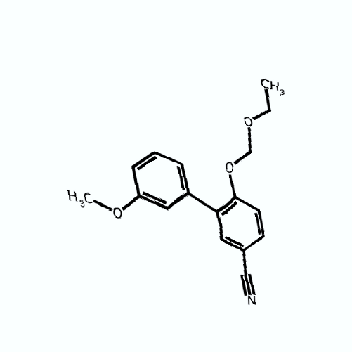 CCOCOc1ccc(C#N)cc1-c1cccc(OC)c1